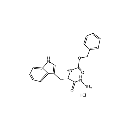 Cl.NNC(=O)[C@H](Cc1c[nH]c2ccccc12)NC(=O)OCc1ccccc1